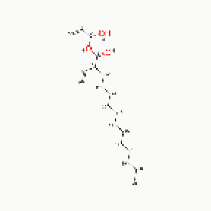 C=CC(O)OC(=O)C(C=C)CCCCCCCCCCCC